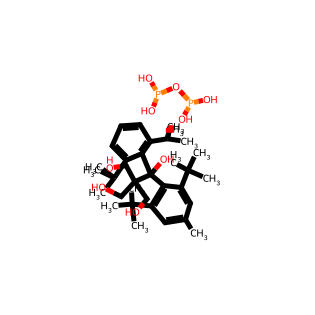 Cc1cc(C(C)(C)C)c(C(O)(c2c(C(C)(C)C)cccc2C(C)(C)C)C(CO)(CO)CO)c(C(C)(C)C)c1.OP(O)OP(O)O